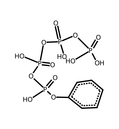 O=P(O)(O)OP(=O)(O)OP(=O)(O)OP(=O)(O)Oc1ccccc1